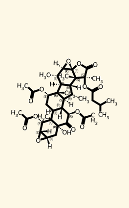 CC(=O)O[C@H]1C[C@H]2[C@H]([C@@H]3[C@@H](C)[C@@H]4[C@H]([C@H](C)[C@H]5O[C@]56OC(=O)[C@@](C)(OC(=O)CC(C)C)[C@]46C)[C@]31C)[C@@H](OC(C)=O)C(=O)[C@@]1(O)C[C@@H]3O[C@@H]3[C@H](OC(C)=O)[C@]21C